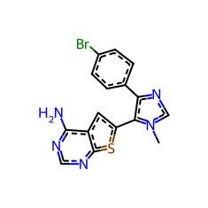 Cn1cnc(-c2ccc(Br)cc2)c1-c1cc2c(N)ncnc2s1